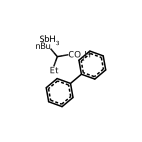 CCCCC(CC)C(=O)O.[SbH3].c1ccc(-c2ccccc2)cc1